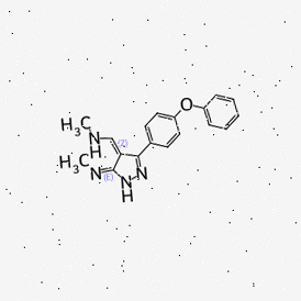 C/N=C1/NN=C(c2ccc(Oc3ccccc3)cc2)/C1=C/NC